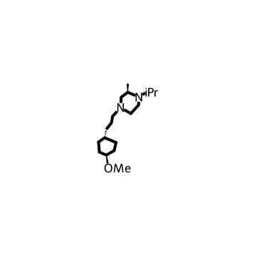 CO[C@H]1CC[C@H](CCCN2CCN(C(C)C)[C@H](C)C2)CC1